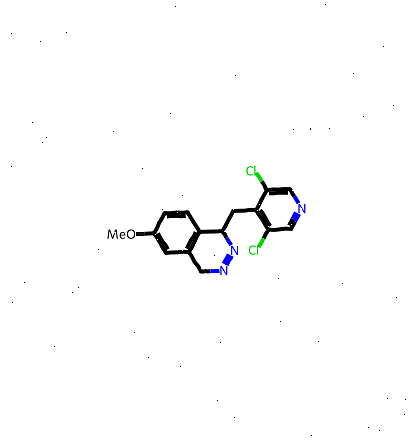 COc1ccc2c(c1)CN=NC2Cc1c(Cl)cncc1Cl